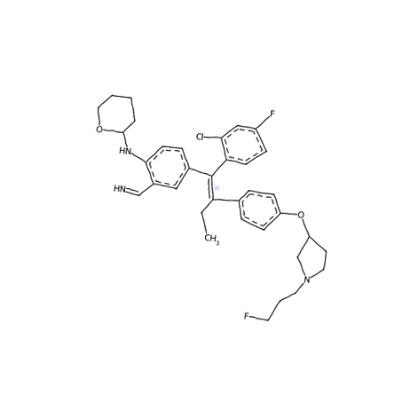 CC/C(=C(\c1ccc(NC2CCCCO2)c(C=N)c1)c1ccc(F)cc1Cl)c1ccc(OC2CCN(CCCF)C2)cc1